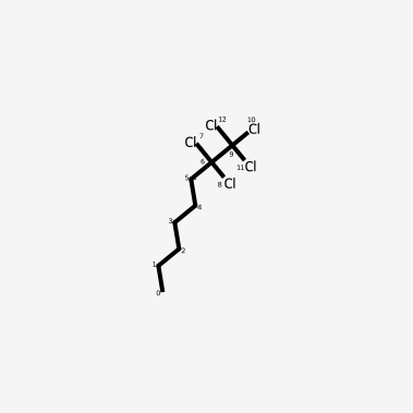 CCCCC[CH]C(Cl)(Cl)C(Cl)(Cl)Cl